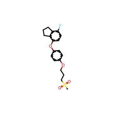 CS(=O)(=O)CCCOc1ccc(Oc2ccc(F)c3c2CCC3)cc1